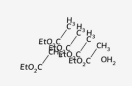 CCOC(C)=O.CCOC(C)=O.CCOC(C)=O.CCOC(C)=O.CCOC(C)=O.O